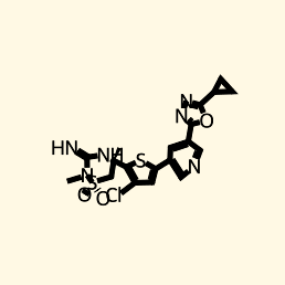 CN1C(=N)N[C@](C)(c2sc(-c3cncc(-c4nnc(C5CC5)o4)c3)cc2Cl)CS1(=O)=O